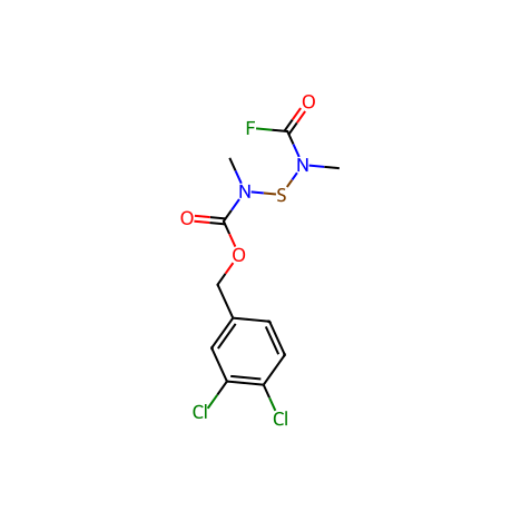 CN(SN(C)C(=O)OCc1ccc(Cl)c(Cl)c1)C(=O)F